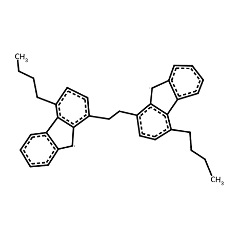 CCCCc1ccc(CCc2ccc(CCCC)c3c2[CH]c2ccccc2-3)c2c1-c1ccccc1[CH]2